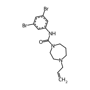 C=CCN1CCCN(C(=O)Nc2cc(Br)cc(Br)c2)CC1